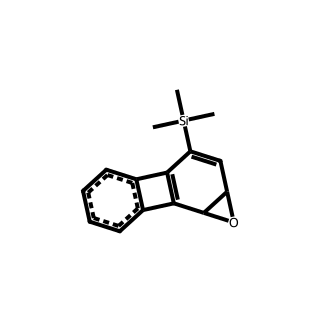 C[Si](C)(C)C1=CC2OC2C2=C1c1ccccc12